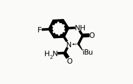 CC[C@H](C)[C@H]1C(=O)Nc2ccc(F)cc2N1C(N)=O